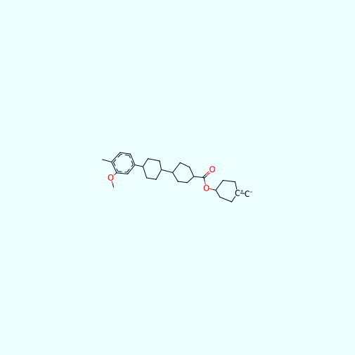 [CH2-][C+]1CCC(OC(=O)C2CCC(C3CCC(c4ccc(C)c(OC)c4)CC3)CC2)CC1